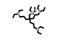 CCN(CC)CCCC(CCCN(CC)CC)(CCCN(CC)CC)C[Si](C)(CC)OC